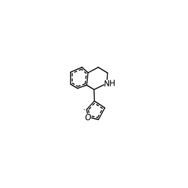 [c]1occc1C1NCCc2ccccc21